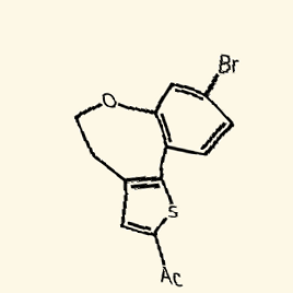 CC(=O)c1cc2c(s1)-c1ccc(Br)cc1OCC2